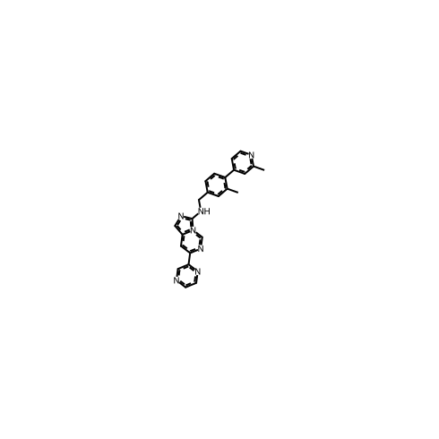 Cc1cc(-c2ccc(CNc3ncc4cc(-c5cnccn5)ncn34)cc2C)ccn1